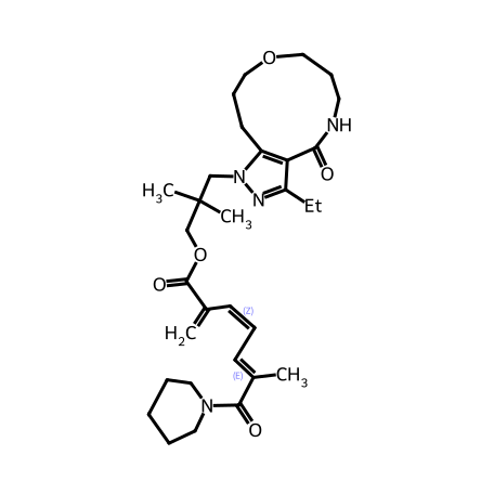 C=C(/C=C\C=C(/C)C(=O)N1CCCCC1)C(=O)OCC(C)(C)Cn1nc(CC)c2c1CCCOCCCNC2=O